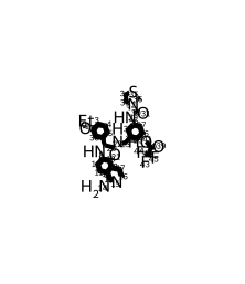 CCOc1cccc(C(Nc2ccc3c(N)nccc3c2)C(=O)NCc2cccc(NC(=O)N3CCSC3)c2)c1.O=C(O)C(F)(F)F